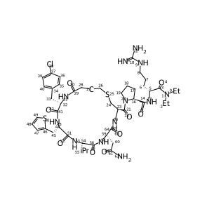 CCN(CC)C(=O)[C@@H](CCCNC(=N)N)NC(=O)[C@@H]1CCCN1C(=O)[C@@H]1CSCCCC(=O)N[C@@H](Cc2ccc(Cl)cc2)C(=O)N[C@@H](Cc2cccs2)C(=O)N[C@@H](C(C)C)C(=O)N[C@@H](CC(N)=O)C(=O)N1